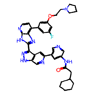 O=C(CC1CCCCC1)Nc1cncc(-c2cc3c(-c4nc5c(-c6cc(F)cc(OCCN7CCCC7)c6)ccnc5[nH]4)n[nH]c3cn2)c1